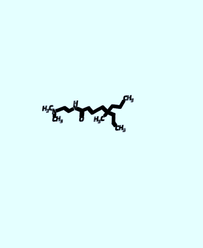 CCCC(C)(CCC)CCCC(=O)NCCN(C)C